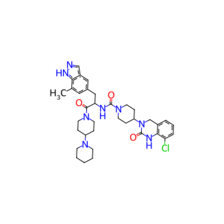 Cc1cc(CC(NC(=O)N2CCC(N3Cc4cccc(Cl)c4NC3=O)CC2)C(=O)N2CCC(N3CCCCC3)CC2)cc2cn[nH]c12